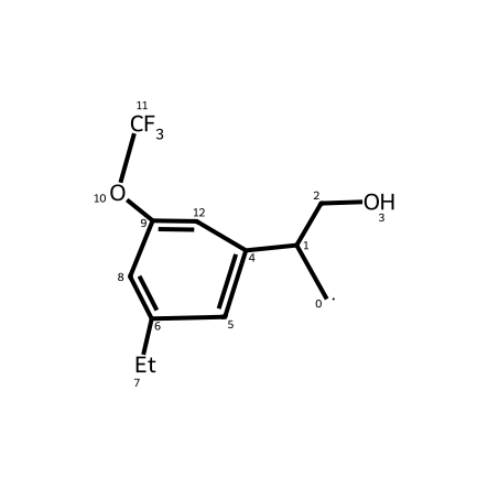 [CH2]C(CO)c1cc(CC)cc(OC(F)(F)F)c1